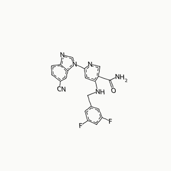 N#Cc1ccc2ncn(-c3cc(NCc4cc(F)cc(F)c4)c(C(N)=O)cn3)c2c1